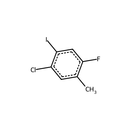 Cc1cc(Cl)c(I)cc1F